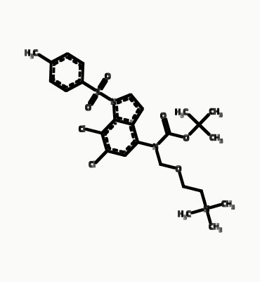 Cc1ccc(S(=O)(=O)n2ccc3c(N(COCC[Si](C)(C)C)C(=O)OC(C)(C)C)cc(Cl)c(Cl)c32)cc1